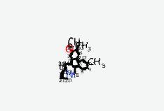 COc1cc2c3c(c4ccc(C)cc4c2cc1C)CN1CC=C[C@@H]1C3